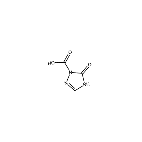 O=C(O)n1nc[nH]c1=O